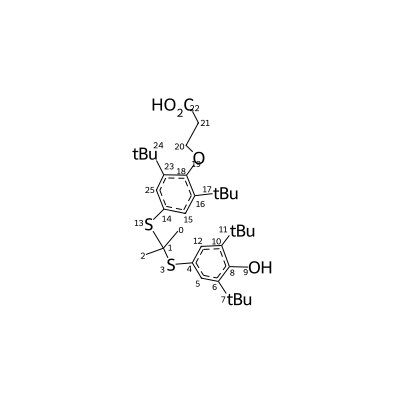 CC(C)(Sc1cc(C(C)(C)C)c(O)c(C(C)(C)C)c1)Sc1cc(C(C)(C)C)c(OCCC(=O)O)c(C(C)(C)C)c1